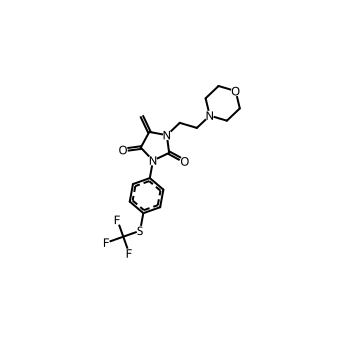 C=C1C(=O)N(c2ccc(SC(F)(F)F)cc2)C(=O)N1CCN1CCOCC1